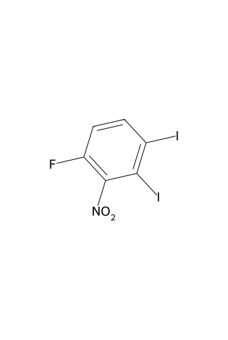 O=[N+]([O-])c1c(F)ccc(I)c1I